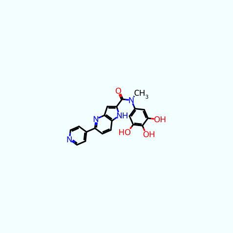 CN(C(=O)c1cc2nc(-c3ccncc3)ccc2[nH]1)c1cc(O)c(O)c(O)c1